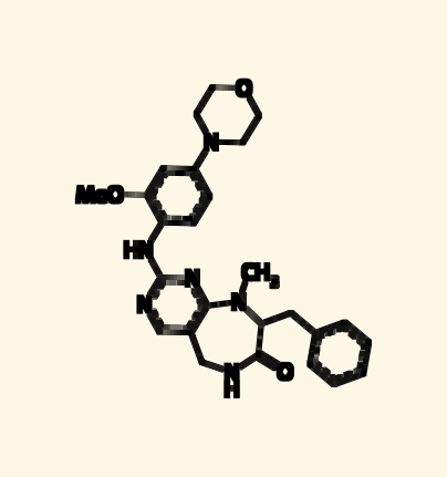 COc1cc(N2CCOCC2)ccc1Nc1ncc2c(n1)N(C)C(Cc1ccccc1)C(=O)NC2